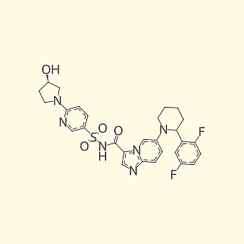 O=C(NS(=O)(=O)c1ccc(N2CC[C@@H](O)C2)nc1)c1cnc2ccc(N3CCCCC3c3cc(F)ccc3F)cn12